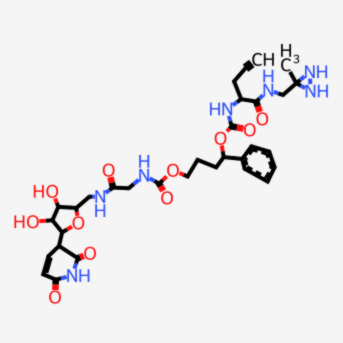 C#CCC(NC(=O)OC(CCCOC(=O)NCC(=O)NCC1OC(C2C=CC(=O)NC2=O)C(O)C1O)c1ccccc1)C(=O)NCC1(C)NN1